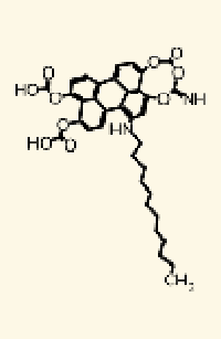 CCCCCCCCCCCCNc1cc2c3c(ccc4c5ccc(OC(=O)O)c6c(OC(=O)O)ccc(c1c34)c65)OC(=O)OC(=N)O2